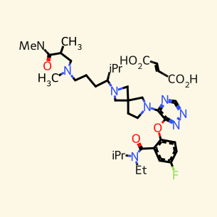 CCN(C(=O)c1cc(F)ccc1Oc1nncnc1N1CCC2(C1)CN(C(CCCN(C)CC(C)C(=O)NC)C(C)C)C2)C(C)C.O=C(O)/C=C/C(=O)O